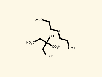 COCCNCCOC.O=C(O)CC(O)(CC(=O)O)C(=O)O